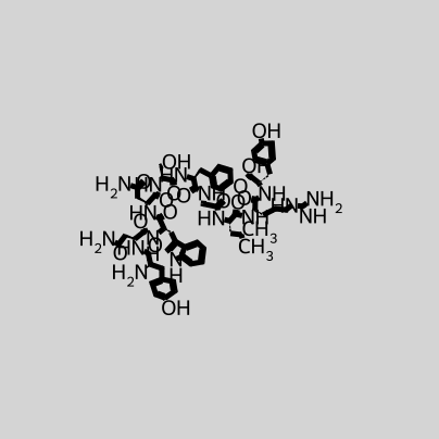 CC(C)C[C@H](NC(=O)CNC(=O)[C@H](Cc1ccccc1)NC(=O)[C@H](CO)NC(=O)[C@H](CC(N)=O)NC(=O)[C@H](Cc1c[nH]c2ccccc12)NC(=O)[C@H](CC(N)=O)NC(=O)[C@@H](N)Cc1ccc(O)cc1)C(=O)N[C@@H](CCCNC(=N)N)C(=O)N[C@@H](Cc1ccc(O)cc1)C(=O)O